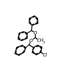 CC(OC(c1ccccc1)c1ccccc1)OC(c1ccccc1)c1ccc(Cl)cc1